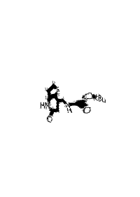 CC(C)(C)OC(=O)NCC1CC(=O)Nc2ccsc21